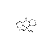 CCCCCC.c1ccc2c(c1)Nc1ccccc1S2